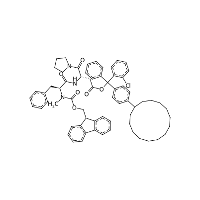 CN(C(=O)OCC1c2ccccc2-c2ccccc21)[C@@H](Cc1ccccc1)C(=O)N[C@@H](CC(=O)OC(c1ccccc1)(c1ccc(C2CCCCCCCCCCCCC2)cc1)c1ccccc1Cl)C(=O)N1CCCC1